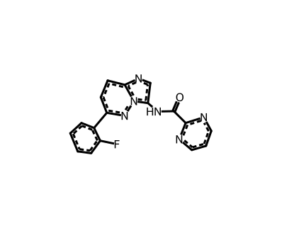 O=C(Nc1cnc2ccc(-c3ccccc3F)nn12)c1ncccn1